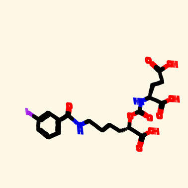 O=C(O)CC[C@H](NC(=O)O[C@@H](CCCCNC(=O)c1cccc(I)c1)C(=O)O)C(=O)O